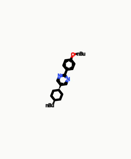 CCCCOc1ccc(-c2ncc([C@H]3CC[C@H](CCCC)CC3)cn2)cc1